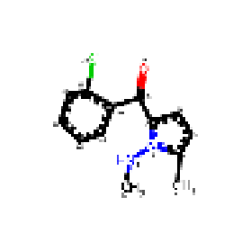 CNn1c(C)ccc1C(=O)c1ccccc1Cl